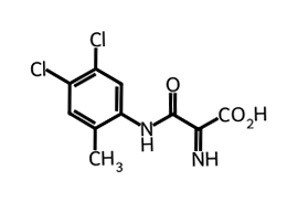 Cc1cc(Cl)c(Cl)cc1NC(=O)C(=N)C(=O)O